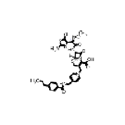 CCCc1ccc(C(=O)NCc2cc[n+](CC3=C(C(=O)O)N4C(=O)[C@@H](NC(=O)/C(=N\OC)c5nc(N)sc5Cl)[C@H]4SC3)cc2)cc1